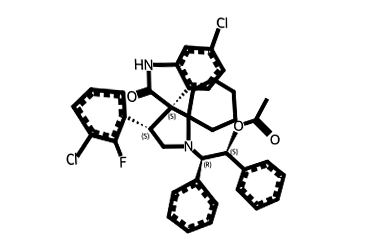 CC(=O)O[C@@H](c1ccccc1)[C@@H](c1ccccc1)N1C[C@H](c2cccc(Cl)c2F)[C@@]2(C(=O)Nc3cc(Cl)ccc32)C12CCCCC2